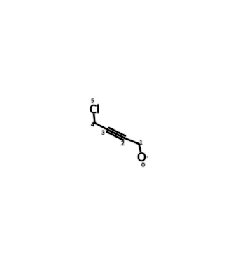 [O]CC#CCCl